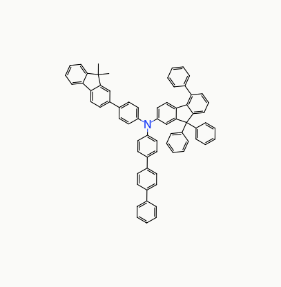 CC1(C)c2ccccc2-c2ccc(-c3ccc(N(c4ccc(-c5ccc(-c6ccccc6)cc5)cc4)c4ccc5c(c4)C(c4ccccc4)(c4ccccc4)c4cccc(-c6ccccc6)c4-5)cc3)cc21